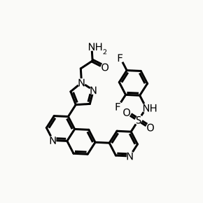 NC(=O)Cn1cc(-c2ccnc3ccc(-c4cncc(S(=O)(=O)Nc5ccc(F)cc5F)c4)cc23)cn1